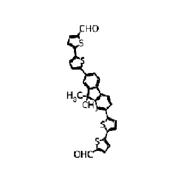 CC1(C)c2cc(-c3ccc(-c4ccc(C=O)s4)s3)ccc2-c2ccc(-c3ccc(-c4ccc(C=O)s4)s3)cc21